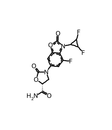 NC(=O)[C@H]1CN(c2cc(F)c3c(c2)oc(=O)n3C2C(F)C2F)C(=O)O1